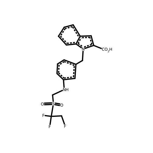 O=C(O)c1cc2ccccc2n1Cc1cccc(NCS(=O)(=O)C(F)(F)CF)c1